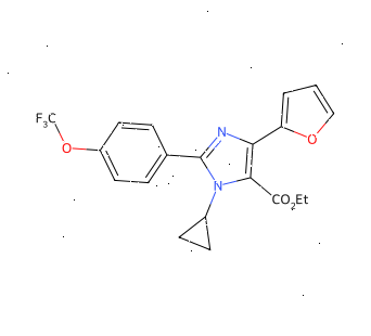 CCOC(=O)c1c(-c2ccco2)nc(-c2ccc(OC(F)(F)F)cc2)n1C1CC1